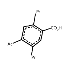 CC(=O)c1cc(C(C)C)c(C(=O)O)cc1C(C)C